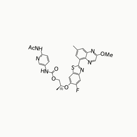 COc1cnc2c(-c3nc4cc(F)c(O[C@@H](C)COC(=O)Nc5ccc(NC(C)=O)nc5)cc4s3)cc(C)cc2n1